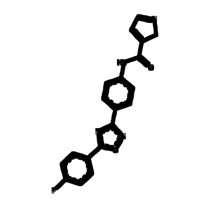 O=C(Nc1ccc(-c2noc(-c3ccc(F)cc3)n2)cc1)C1=CC=NC1